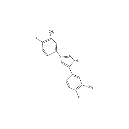 Cc1cc(-c2n[nH]c(-c3ccc(F)c(C)c3)n2)ccc1F